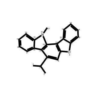 CC(C)c1cc2oc3ccccc3c2c2c1c1ccccc1n2C